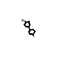 Brc1ccc(C2=CC=C(I)CC2)cc1